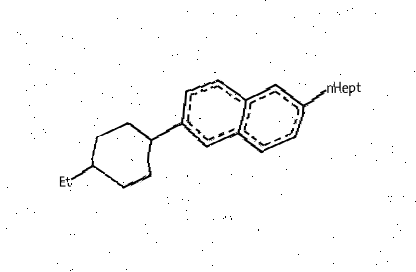 CCCCCCCc1ccc2cc(C3CCC(CC)CC3)ccc2c1